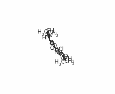 CC(C)(C)OC(=O)NCCc1ccc(OC(=O)c2cnc(N3CCN(C(=O)OC(C)(C)C)CC3)c(Cl)c2)cc1